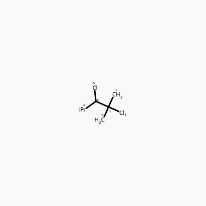 [CH2]C(C)(Cl)C(Cl)C(C)C